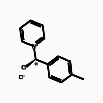 Cc1ccc([C@@H](Cl)[n+]2ccccc2)cc1.[Cl-]